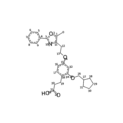 Cc1oc(-c2ccccc2)nc1CCOc1ccc(CCC(=O)O)c(OCC2CCCC2)c1